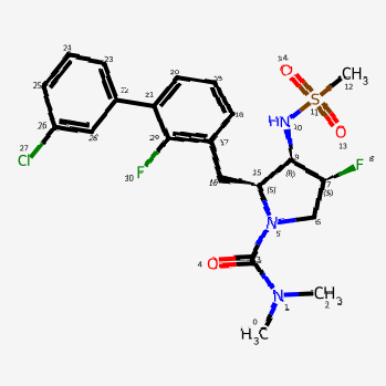 CN(C)C(=O)N1C[C@H](F)[C@H](NS(C)(=O)=O)[C@@H]1Cc1cccc(-c2cccc(Cl)c2)c1F